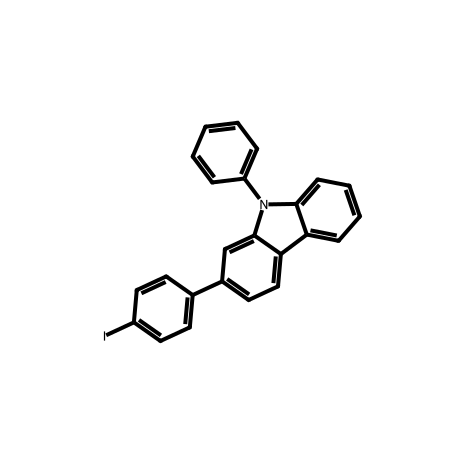 Ic1ccc(-c2ccc3c4ccccc4n(-c4ccccc4)c3c2)cc1